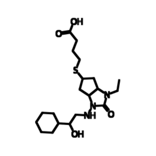 CCN1C(=O)N(NCC(O)C2CCCCC2)C2CC(SCCCC(=O)O)CC21